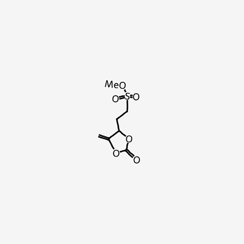 C=C1OC(=O)OC1CCS(=O)(=O)OC